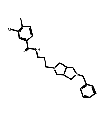 Cc1ccc(C(=O)NCCCN2CC3CN(Cc4ccccc4)CC3C2)cc1Cl